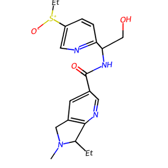 CCC1c2ncc(C(=O)NC(CO)c3ccc([S+]([O-])CC)cn3)cc2CN1C